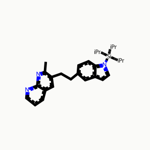 Cc1nc2ncccc2cc1CCc1ccc2c(ccn2[Si](C(C)C)(C(C)C)C(C)C)c1